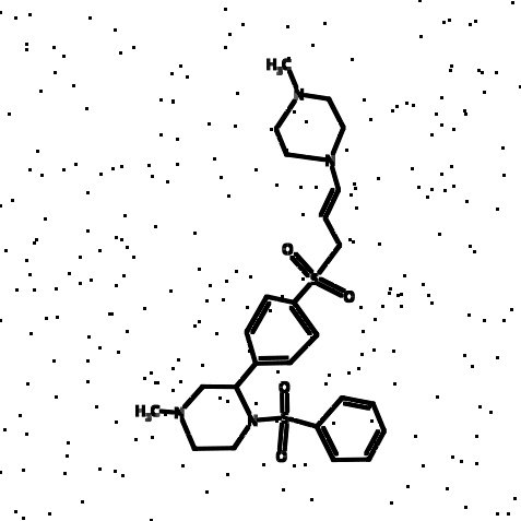 CN1CCN(C=CCS(=O)(=O)c2ccc(C3CN(C)CCN3S(=O)(=O)c3ccccc3)cc2)CC1